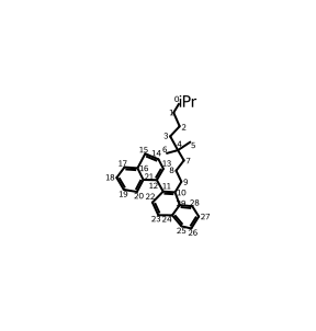 CC(C)CCCC(C)(C)CCCc1c(-c2cccc3ccccc23)ccc2ccccc12